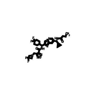 O=C(CCC(F)(F)F)N[C@@H](c1cnn2cc([C@@H](NC(=O)c3nonc3CN3CC(F)(F)C3)C3CCC(F)(F)CC3)nc2c1)C1CC1